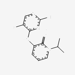 CC(C)n1cccc(Nc2nc(Cl)ncc2F)c1=O